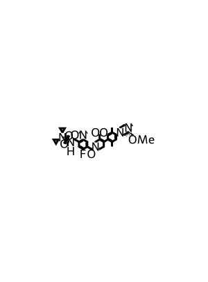 COC[C@H]1CN(c2cc(C)c3c4c(c(=O)oc3c2C)CN(C(=O)c2cc(N(C)C)c(C(=O)NS(=O)(=O)N(C3CC3)C3CC3)cc2F)CC4)CCN1C